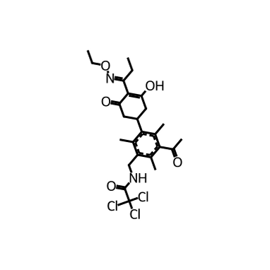 CCON=C(CC)C1=C(O)CC(c2c(C)c(CNC(=O)C(Cl)(Cl)Cl)c(C)c(C(C)=O)c2C)CC1=O